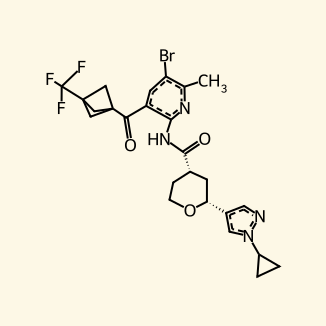 Cc1nc(NC(=O)[C@H]2CCO[C@@H](c3cnn(C4CC4)c3)C2)c(C(=O)C23CC(C(F)(F)F)(C2)C3)cc1Br